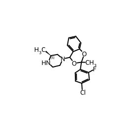 C[C@H]1CN(C2OC(C)(c3ccc(Cl)cc3F)Oc3ccccc32)CCN1